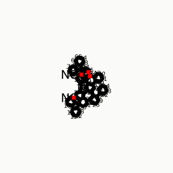 N#Cc1cc2c(c3c1C(c1ccccc1)(c1ccccc1)CCC3)c1c(-c3ccccc3-c3ccccc3)cc(-c3ccccc3-c3ccccc3)c3c4c5c(c(C#N)cc4n2c13)C(c1ccccc1)(c1ccccc1)CCC5